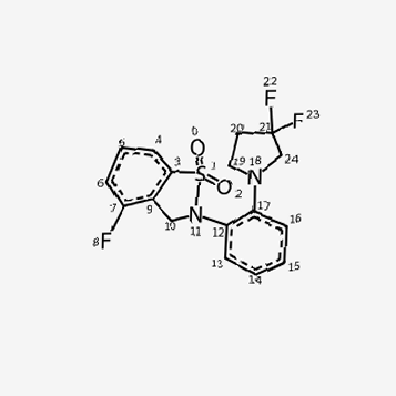 O=S1(=O)c2cccc(F)c2CN1c1ccccc1N1CCC(F)(F)C1